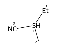 CC[SH](C)C#N